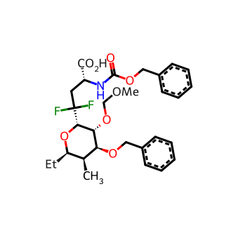 CC[C@H]1O[C@H](C(F)(F)C[C@@H](NC(=O)OCc2ccccc2)C(=O)O)[C@H](OCOC)[C@@H](OCc2ccccc2)[C@H]1C